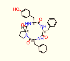 O=C1N[C@H](Cc2ccccc2)C(=O)N[C@@H](Cc2ccccc2)C(=O)N2CCC[C@@H]2C(=O)N[C@H]1Cc1ccc(O)cc1